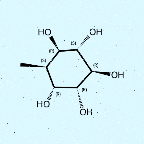 C[C@H]1[C@@H](O)[C@H](O)[C@@H](O)[C@H](O)[C@@H]1O